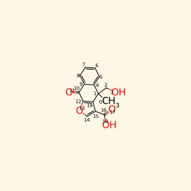 CC1(CO)c2ccccc2C(=O)c2occ(C(=O)O)c21